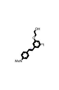 CNc1ccc(/C=C/c2cc([123I])cc(OCCO)c2)cc1